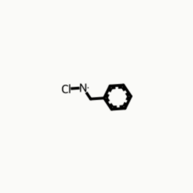 Cl[N]Cc1ccccc1